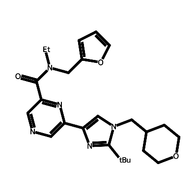 CCN(Cc1ccco1)C(=O)c1cncc(-c2cn(CC3CCOCC3)c(C(C)(C)C)n2)n1